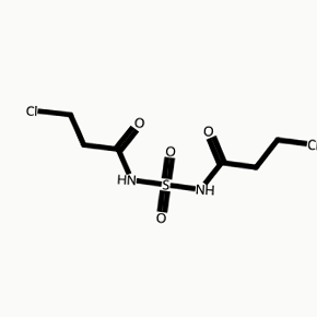 O=C(CCCl)NS(=O)(=O)NC(=O)CCCl